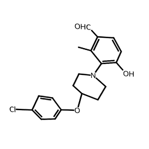 Cc1c(C=O)ccc(O)c1N1CCC(Oc2ccc(Cl)cc2)CC1